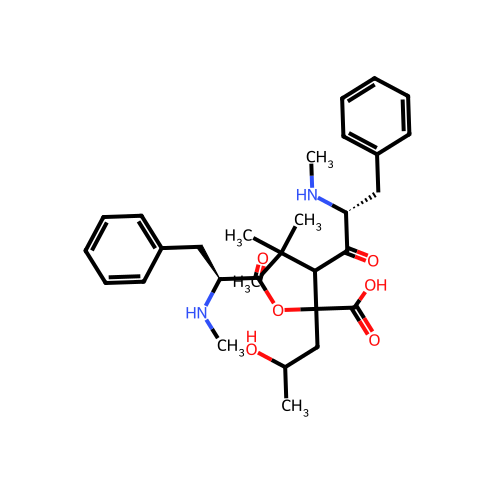 CN[C@@H](Cc1ccccc1)C(=O)OC(CC(C)O)(C(=O)O)C(C(=O)[C@@H](Cc1ccccc1)NC)C(C)(C)C